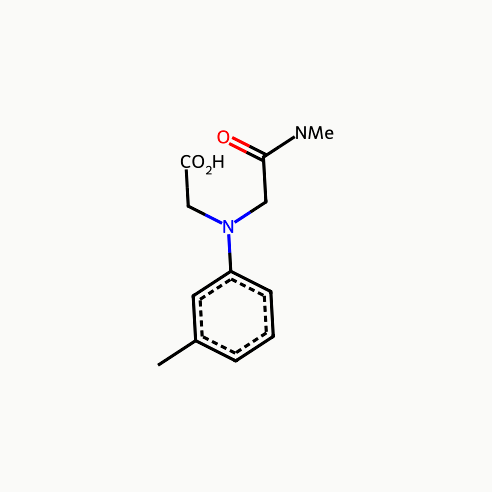 CNC(=O)CN(CC(=O)O)c1cccc(C)c1